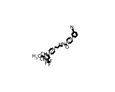 CC(C)(C)c1nc(N2CCN(CCCCNC(=O)N3CCN(c4cccc(C#N)c4)CC3)CC2)cc(C(F)(F)F)n1